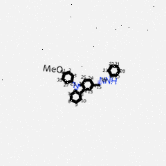 COc1ccc(-n2c3ccccc3c3cc(/C=N/Nc4ccccc4)ccc32)cc1